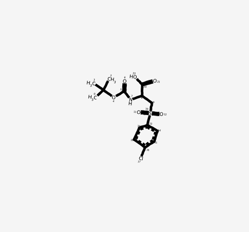 CC(C)(C)OC(=O)NC(CS(=O)(=O)c1ccc(Cl)cc1)C(=O)O